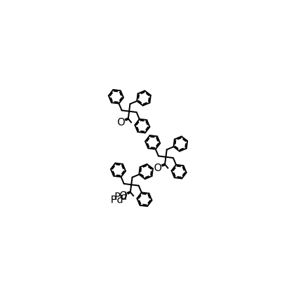 CC(=O)C(Cc1ccccc1)(Cc1ccccc1)Cc1ccccc1.CC(=O)C(Cc1ccccc1)(Cc1ccccc1)Cc1ccccc1.CC(=O)C(Cc1ccccc1)(Cc1ccccc1)Cc1ccccc1.[Pd].[Pd]